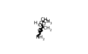 C=C(C(=O)OC(C)(C)C)c1csc(CCN)c1